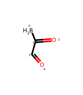 BC(=O)C=O